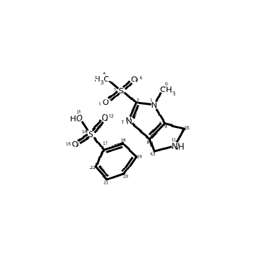 Cn1c(S(C)(=O)=O)nc2c1CNC2.O=S(=O)(O)c1ccccc1